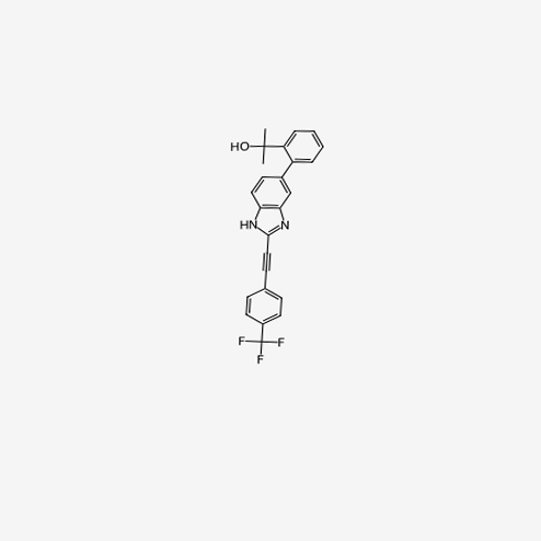 CC(C)(O)c1ccccc1-c1ccc2[nH]c(C#Cc3ccc(C(F)(F)F)cc3)nc2c1